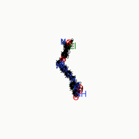 CCOc1c(Cl)cc(C(C)(C)c2ccc(OCc3ccnc(N4CCN(C5CCN(C6CN(CC7=CCC(C)c8c7n(C)c(=O)n8C7CCC(=O)NC7=O)C6)CC5)CC4)n3)cc2)cc1C#N